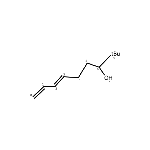 C=CC=CCCC(O)C(C)(C)C